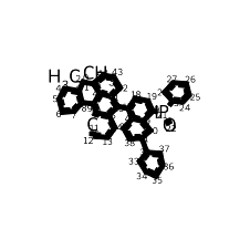 CC1(C)c2ccccc2-c2c3ccccc3c(-c3ccc([PH](=O)c4ccccc4)c4cc(-c5ccccc5)ccc34)c3cccc1c23